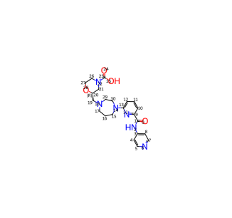 O=C(Nc1ccncc1)c1cccc(N2CCCN(C[C@@H]3CN(C(=O)O)CCO3)CC2)n1